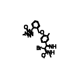 CN/C(OC)=C(/Br)C(=N)c1ccc(OCc2ccccc2-n2nnn(C)c2=O)c(C)c1